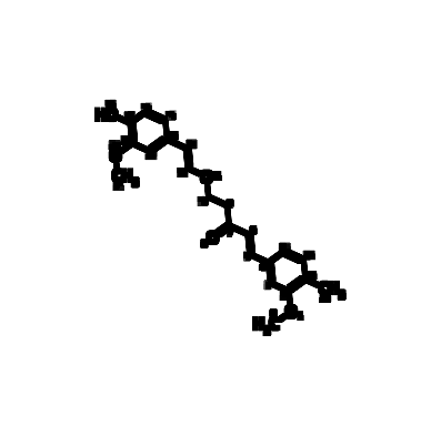 COc1cc(C=CC(=O)CCOC=Cc2ccc(O)c(OC)c2)ccc1C